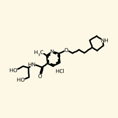 Cc1nc(OCCCC2CCNCC2)ccc1C(=O)NC(CO)CO.Cl